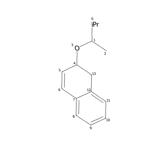 CC(C)C(C)OC1C=Cc2ccccc2C1